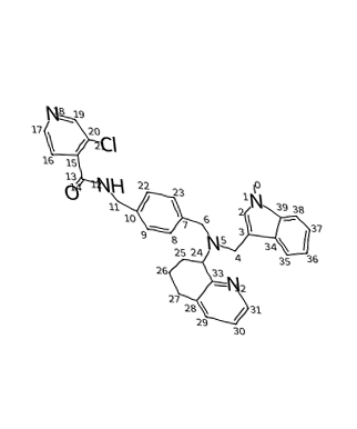 Cn1cc(CN(Cc2ccc(CNC(=O)c3ccncc3Cl)cc2)C2CCCc3cccnc32)c2ccccc21